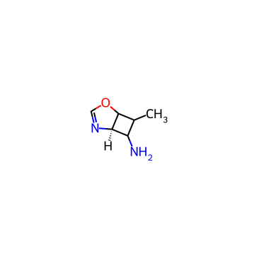 CC1C(N)[C@H]2N=COC12